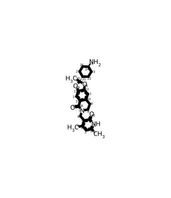 Cc1cc(C)c(CN2CCc3cc4c(cc3C2=O)OC(C)([C@H]2CC[C@H](N)CC2)O4)c(=O)[nH]1